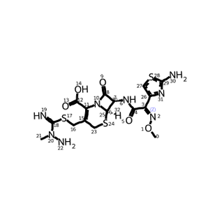 CO/N=C(\C(=O)N[C@@H]1C(=O)N2C(C(=O)O)=C(CSC(=N)N(C)N)CS[C@H]12)c1csc(N)n1